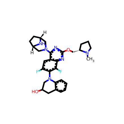 CN1CCC[C@H]1COc1nc(N2C[C@H]3CC[C@@H](C2)N3)c2cc(F)c(N3CC(O)Cc4ccccc43)c(F)c2n1